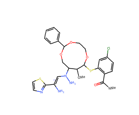 CNC(=O)c1ccc(Cl)cc1SC1OCCOC(c2ccccc2)OCC(N(N)/C=C(\N)c2nccs2)C1OC